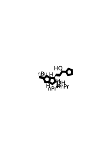 CCCCC=C1C[C@H]2C[C@@H](O)[C@H](C=C[C@@H](O)C3CCCC3)[C@H]2C1.CCCNCCC